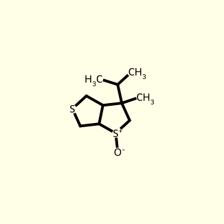 CC(C)C1(C)C[S+]([O-])C2CSCC21